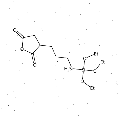 CCO[Si](OCC)(OCC)[SiH2]CCCC1CC(=O)OC1=O